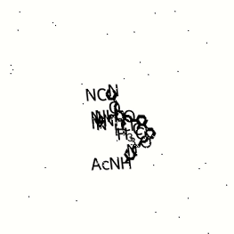 CC(=O)NC1CCN(CCCOc2cccc(-c3cccc(COc4cc(OCc5cncc(C#N)c5)c(CNc5nnn[nH]5)cc4Cl)c3C)c2C)CC1